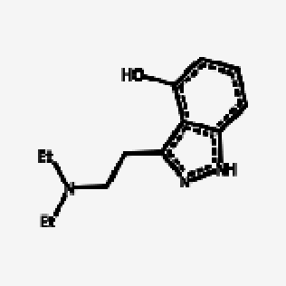 CCN(CC)CCc1n[nH]c2cccc(O)c12